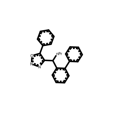 CCCC(c1ccccc1-c1ccccc1)c1nnoc1-c1ccccc1